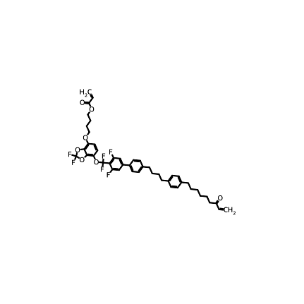 C=CC(=O)CCCCCCc1ccc(CCCCc2ccc(-c3cc(F)c(C(F)(F)Oc4ccc(OCCCCOC(=O)C=C)c5c4OC(F)(F)O5)c(F)c3)cc2)cc1